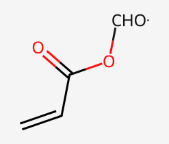 C=CC(=O)O[C]=O